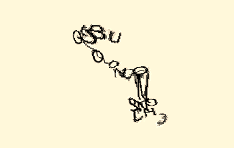 Cc1nc(C(=O)N2CCOC3(CCN(Cc4cccc(CCOCCC(=O)OC(C)(C)C)c4)CC3)C2)cs1